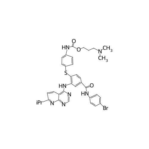 CC(C)c1ccc2c(Nc3cc(C(=O)Nc4ccc(Br)cc4)ccc3Sc3ccc(NC(=O)OCCCN(C)C)cc3)ncnc2n1